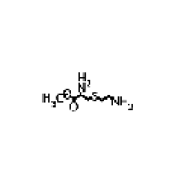 COC(=O)[C@@H](N)CSCCN